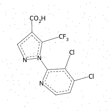 O=C(O)c1cnn(-c2nccc(Cl)c2Cl)c1C(F)(F)F